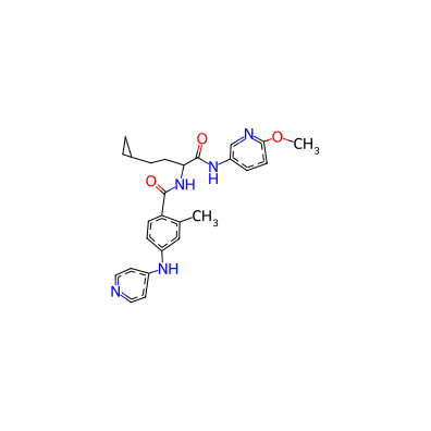 COc1ccc(NC(=O)C(CCC2CC2)NC(=O)c2ccc(Nc3ccncc3)cc2C)cn1